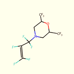 FC(F)=C(F)C(F)(F)N1CC(C(F)(F)F)OC(C(F)(F)F)C1